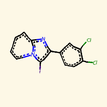 Clc1ccc(-c2nc3ccccn3c2I)cc1Cl